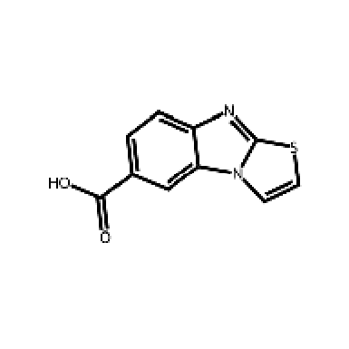 O=C(O)c1ccc2nc3sccn3c2c1